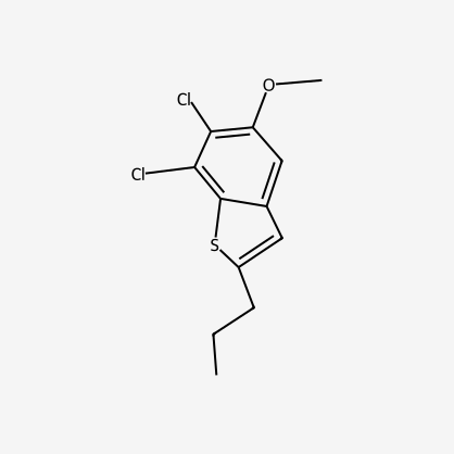 CCCc1cc2cc(OC)c(Cl)c(Cl)c2s1